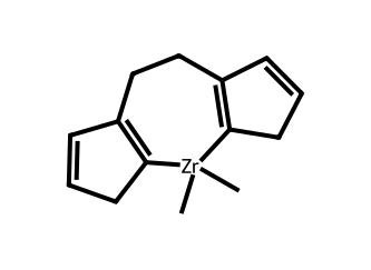 [CH3][Zr]1([CH3])[C]2=C(C=CC2)CCC2=[C]1CC=C2